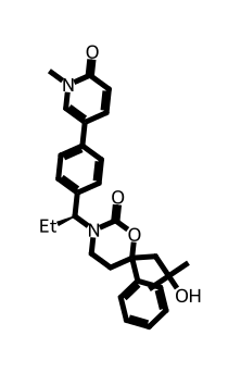 CC[C@@H](c1ccc(-c2ccc(=O)n(C)c2)cc1)N1CCC(CC(C)(C)O)(c2ccccc2)OC1=O